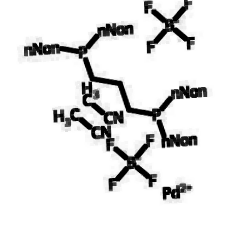 CC#N.CC#N.CCCCCCCCCP(CCCCCCCCC)CCCP(CCCCCCCCC)CCCCCCCCC.F[B-](F)(F)F.F[B-](F)(F)F.[Pd+2]